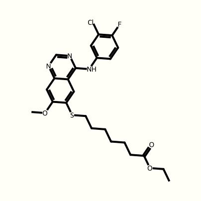 CCOC(=O)CCCCCCSc1cc2c(Nc3ccc(F)c(Cl)c3)ncnc2cc1OC